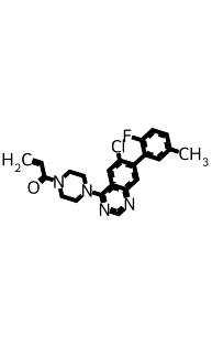 C=CC(=O)N1CCN(c2ncnc3cc(-c4cc(C)ccc4F)c(Cl)cc23)CC1